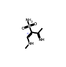 CN/C=C(\C(C)=N)S(N)(=O)=O